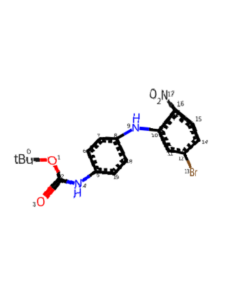 CC(C)(C)OC(=O)Nc1ccc(Nc2cc(Br)ccc2[N+](=O)[O-])cc1